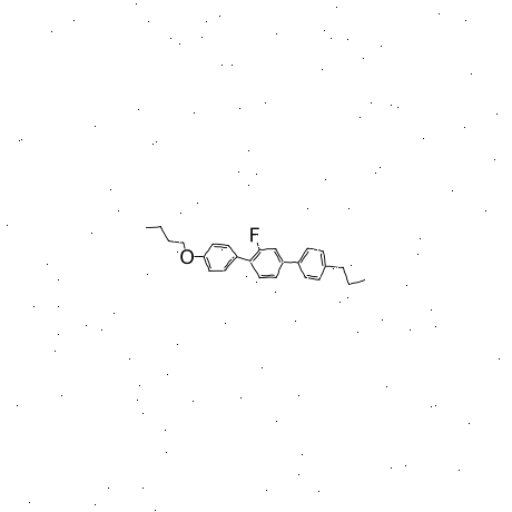 CCCCOc1ccc(-c2ccc(-c3ccc(CCC)cc3)cc2F)cc1